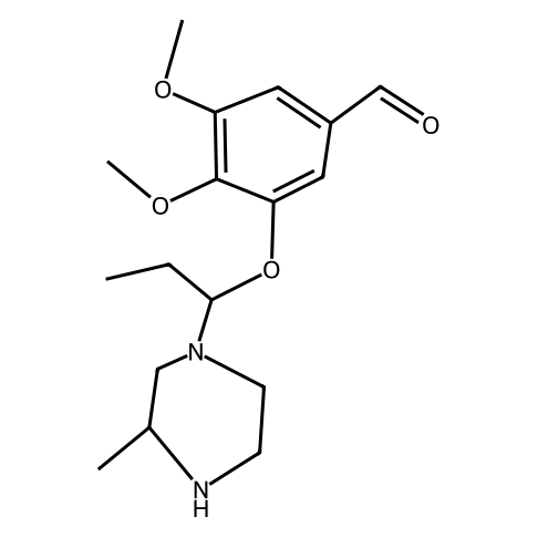 CCC(Oc1cc(C=O)cc(OC)c1OC)N1CCNC(C)C1